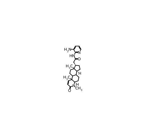 CN1C(=O)C=C[C@]2(C)C3CC[C@]4(C)[C@@H](CC(=O)Nc5ncccc5N)CC[C@H]4C3CC[C@@H]12